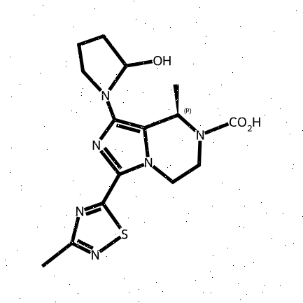 Cc1nsc(-c2nc(N3CCCC3O)c3n2CCN(C(=O)O)[C@@H]3C)n1